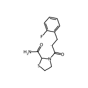 NC(=O)C1SCCN1C(=O)[CH]Cc1ccccc1F